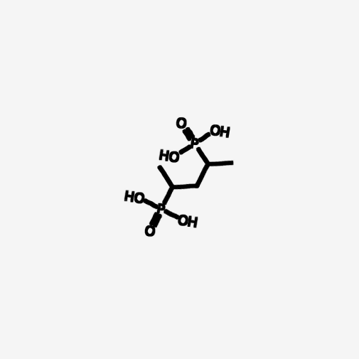 CC(CC(C)P(=O)(O)O)P(=O)(O)O